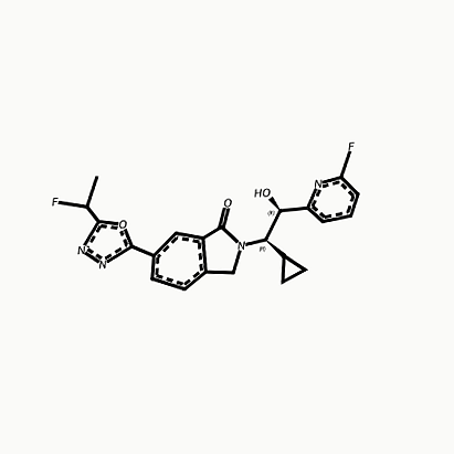 CC(F)c1nnc(-c2ccc3c(c2)C(=O)N([C@H](C2CC2)[C@@H](O)c2cccc(F)n2)C3)o1